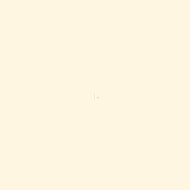 ClC1C[CH]CCN1C1CCC1